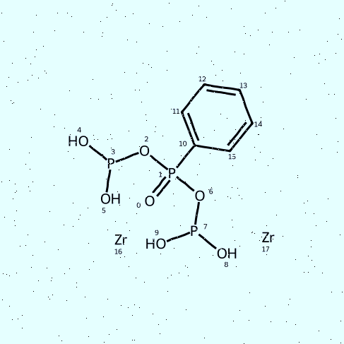 O=P(OP(O)O)(OP(O)O)c1ccccc1.[Zr].[Zr]